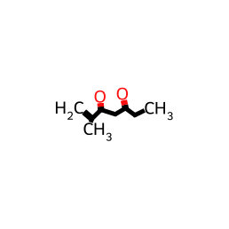 C=C(C)C(=O)CC(=O)CC